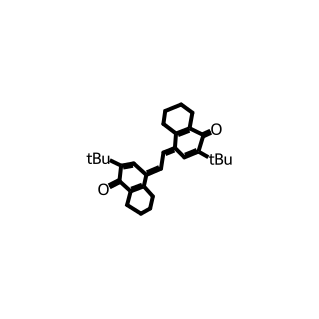 CC(C)(C)C1=C/C(=C\C=C2/C=C(C(C)(C)C)C(=O)C3=C2CCCC3)C2=C(CCCC2)C1=O